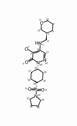 O=c1c(Cl)c(NC[C@@H]2CCCOC2)cnn1[C@H]1CC[C@@H](S(=O)(=O)N2CCCC2)CC1